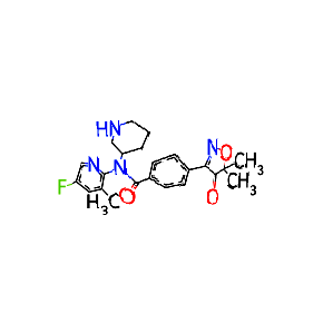 Cc1cc(F)cnc1N(C(=O)c1ccc(C2=NOC(C)(C)C2=O)cc1)C1CCCNC1